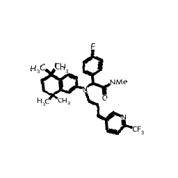 CNC(=O)C(c1ccc(F)cc1)N(CCCc1ccc(C(F)(F)F)nc1)c1ccc2c(c1)C(C)(C)CCC2(C)C